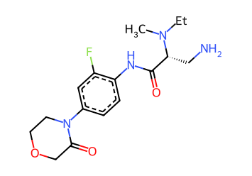 CCN(C)[C@H](CN)C(=O)Nc1ccc(N2CCOCC2=O)cc1F